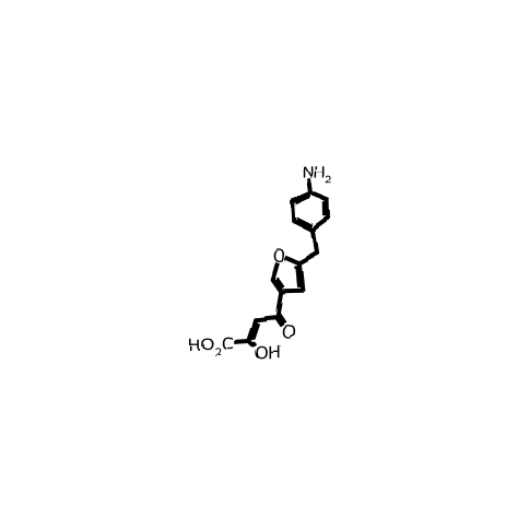 Nc1ccc(Cc2cc(C(=O)/C=C(\O)C(=O)O)co2)cc1